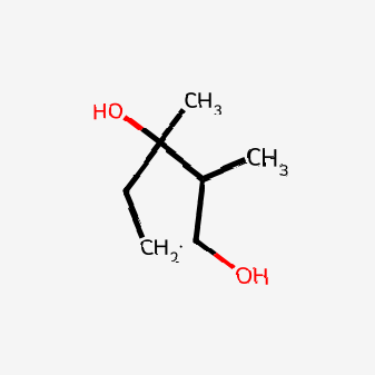 [CH2]CC(C)(O)C(C)CO